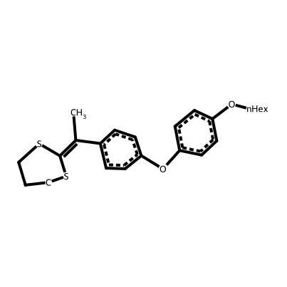 CCCCCCOc1ccc(Oc2ccc(C(C)=C3SCCCS3)cc2)cc1